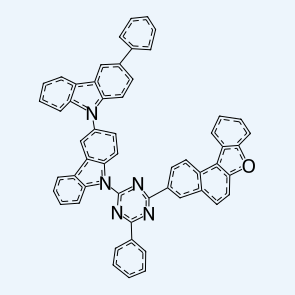 c1ccc(-c2ccc3c(c2)c2ccccc2n3-c2ccc3c(c2)c2ccccc2n3-c2nc(-c3ccccc3)nc(-c3ccc4c(ccc5oc6ccccc6c54)c3)n2)cc1